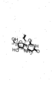 C=CC[C@@]1(n2ccc(=O)[nH]c2=O)O[C@H](CO)[C@@H](O)[C@H]1N